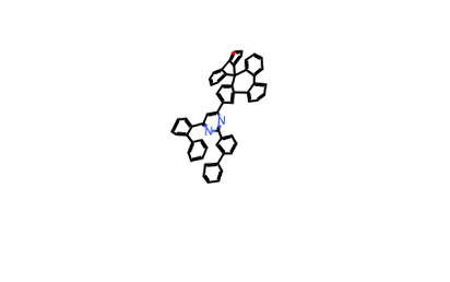 c1ccc(-c2cccc(-c3nc(-c4ccc5c(c4)-c4ccccc4-c4ccccc4C54c5ccccc5-c5ccccc54)cc(-c4ccccc4-c4ccccc4)n3)c2)cc1